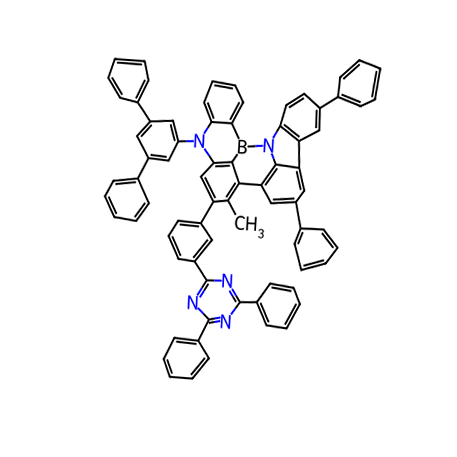 Cc1c(-c2cccc(-c3nc(-c4ccccc4)nc(-c4ccccc4)n3)c2)cc2c3c1-c1cc(-c4ccccc4)cc4c5cc(-c6ccccc6)ccc5n(c14)B3c1ccccc1N2c1cc(-c2ccccc2)cc(-c2ccccc2)c1